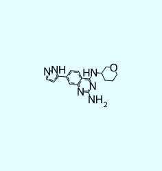 Nc1nc(N[C@@H]2CCCOC2)c2ccc(-c3ccn[nH]3)cc2n1